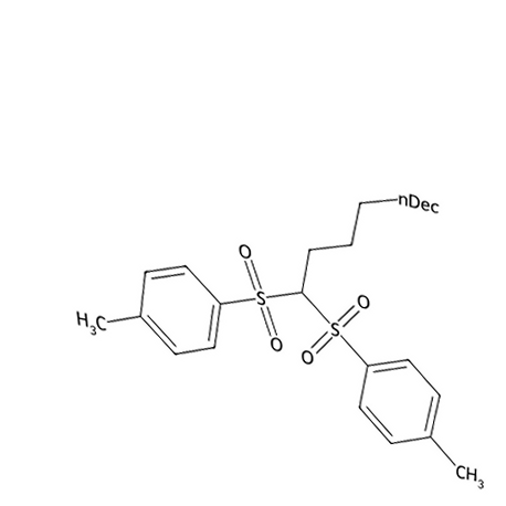 CCCCCCCCCCCCCC(S(=O)(=O)c1ccc(C)cc1)S(=O)(=O)c1ccc(C)cc1